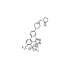 CS(=O)(=O)c1c(C(F)(F)F)ccc(-c2ccc(C3CCN(C[C@H]4CCCN4)CC3)cc2)c1-c1nnn[nH]1